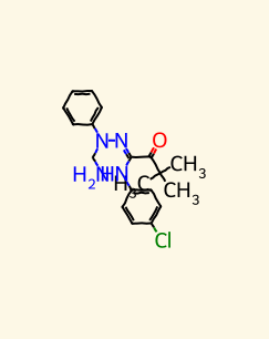 CC(C)(C)C(=O)C(=NN(CN)c1ccccc1)Nc1ccc(Cl)cc1